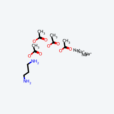 CC(=O)[O-].CC(=O)[O-].CC(=O)[O-].CC(=O)[O-].NCCCN.[Na+].[Na+].[Na+].[Na+]